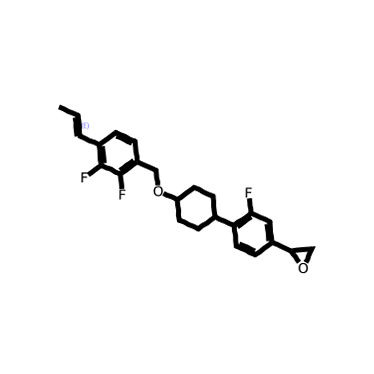 C/C=C/c1ccc(COC2CCC(c3ccc(C4CO4)cc3F)CC2)c(F)c1F